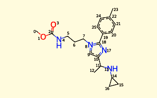 COC(=O)NCCCn1cc(C(C)NC2CC2)nc1-c1ccc(C)cc1